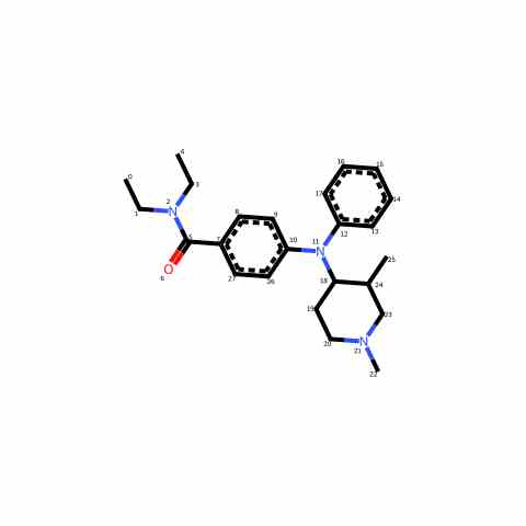 CCN(CC)C(=O)c1ccc(N(c2ccccc2)C2CCN(C)CC2C)cc1